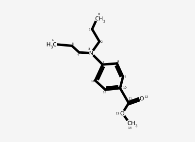 CCCN(CCC)c1ccc(C(=O)OC)cc1